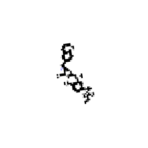 CCS(=O)(=O)Nc1ccc(Cl)c(NC2=NC(=O)/C(=C/c3ccc4ncccc4c3)S2)c1